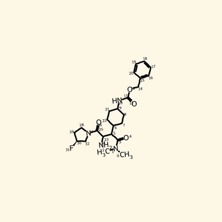 CN(C)C(=O)C(C1CCC(NC(=O)OCc2ccccc2)CC1)C(N)C(=O)N1CC[C@H](F)C1